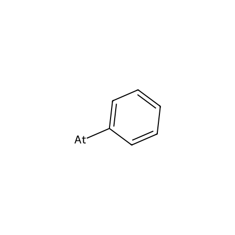 [At]c1ccccc1